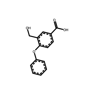 O=C(O)c1ccc(Oc2ccccc2)c(CO)c1